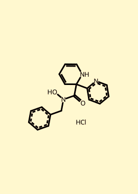 Cl.O=C(N(O)Cc1ccccc1)C1(c2ccccn2)C=CC=CN1